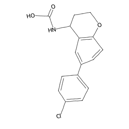 O=C(O)NC1CCOc2ccc(-c3ccc(Cl)cc3)cc21